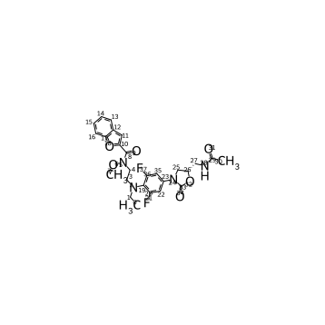 CCN(CCN(OC)C(=O)c1cc2ccccc2o1)c1c(F)cc(N2C[C@H](CNC(C)=O)OC2=O)cc1F